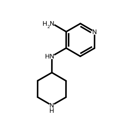 Nc1cnccc1NC1CCNCC1